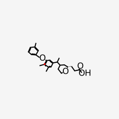 C\C=C(/C=C(\C=C(\C)CC)C(C)C1CCO[C@@H](CCC(=O)O)C1)OCc1cccc(C)c1